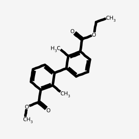 CCOC(=O)c1cccc(-c2cccc(C(=O)OC)c2C)c1C